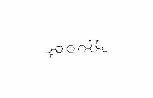 CCOc1ccc(C2CCC(C3CCC(c4ccc(/C=C(/C)F)cc4)CC3)CC2)c(F)c1F